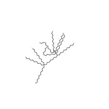 CCCCCCCCCCC(CCCCCCCC(CCCCCCCCCC)(CCCCCCCCCC)CCCCCCCCCC)C(CCCCCCCCCC)(CCCCCCCCCC)[N+](CCCCCCCCCC)(CCCCCCCCCC)CCCCCCCCCC